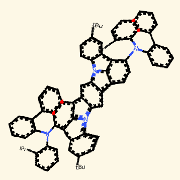 CC(C)c1ccccc1N(c1ccccc1-c1ccccc1)c1ccc2c3cc4c(cc3n3c5ccc(C(C)(C)C)cc5c1c23)c1ccc(N(c2ccccc2-c2ccccc2)c2ccccc2C(C)C)c2c3cc(C(C)(C)C)ccc3n4c12